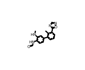 CNc1cc(-c2cccc(-c3ncno3)c2C)ccc1NC=O